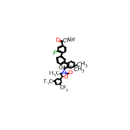 COC(=O)c1ccc(-c2ccc(OC)c(C3=C(CN4C(=O)OC(c5cc(C(F)(F)F)cc(C(F)(F)F)c5)[C@@H]4C)CC(C)(C)CC3)c2)c(F)c1